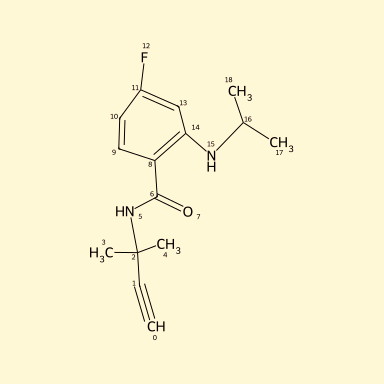 C#CC(C)(C)NC(=O)c1ccc(F)cc1NC(C)C